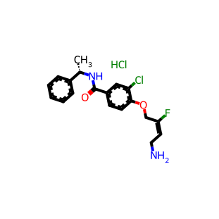 C[C@H](NC(=O)c1ccc(OC/C(F)=C\CN)c(Cl)c1)c1ccccc1.Cl